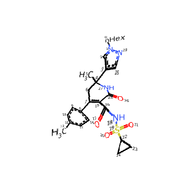 CCCCCCn1cc(C2(C)CC(c3ccc(C)cc3)=C(C(=O)NS(=O)(=O)C3CC3)C(=O)N2)cn1